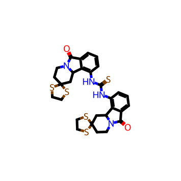 O=C1c2cccc(NC(=S)Nc3cccc4c3C3CC5(CCN3C4=O)SCCS5)c2C2CC3(CCN12)SCCS3